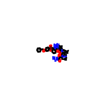 CC(C)(C)[C@H](NC(=O)NC1(CS(=O)(=O)c2ccc(OCc3ccccc3)cc2)CCCCC1)C(=O)N1CC2[C@@H]([C@H]1C(=O)NC(CC1CC1)C(=O)C(N)=O)C2(C)C